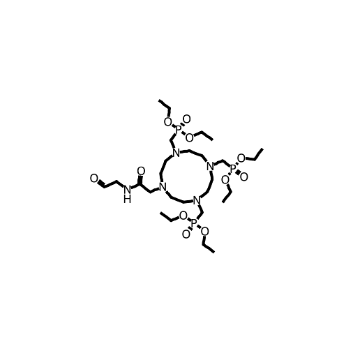 CCOP(=O)(CN1CCN(CC(=O)NCC=O)CCN(CP(=O)(OCC)OCC)CCN(CP(=O)(OCC)OCC)CC1)OCC